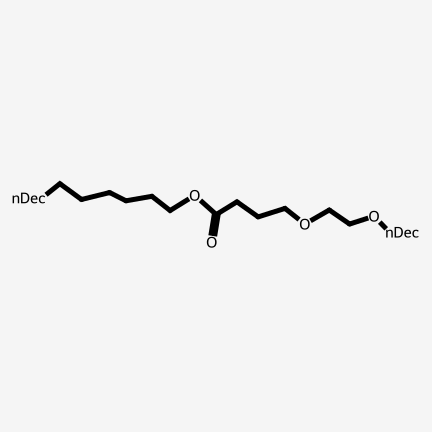 CCCCCCCCCCCCCCCCOC(=O)CCCOCCOCCCCCCCCCC